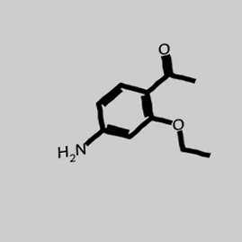 CCOc1cc(N)ccc1C(C)=O